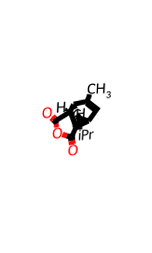 CC1=CC2[C@H](C(C)C)CC1[C@H]1C(=O)OC(=O)[C@@H]21